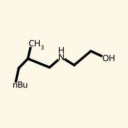 CCCCCC(C)CNCCO